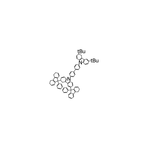 CC(C)(C)c1ccc2c(c1)c1c(n2-c2ccc(-c3ccc(-n4c5c(c6cc(C7(c8ccccc8)C8=C(CCC=C8)c8ccccc87)ccc64)CC(C4(c6ccccc6)C6=C(CCC=C6)C6=C4C=CCC6)C=C5)cc3)cc2)C=CC(C(C)(C)C)C1